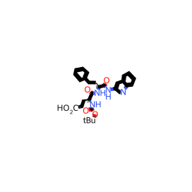 CC(C)(C)OC(=O)N[C@@H](CCC(=O)O)C(=O)N[C@H](CCc1ccccc1)C(=O)Nc1cnc2ccccc2c1